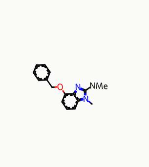 CNc1nc2c(OCc3ccccc3)cccc2n1C